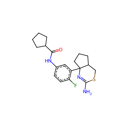 NC1=NC2(c3cc(NC(=O)C4CCCC4)ccc3F)CCCC2CS1